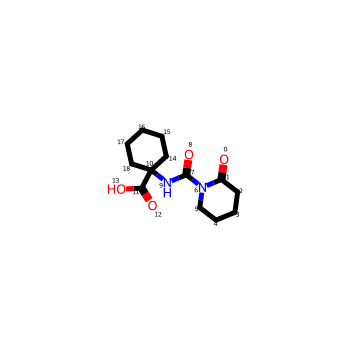 O=C1CCCCN1C(=O)NC1(C(=O)O)CCCCC1